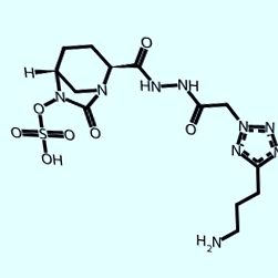 NCCCc1nnn(CC(=O)NNC(=O)[C@@H]2CC[C@@H]3CN2C(=O)N3OS(=O)(=O)O)n1